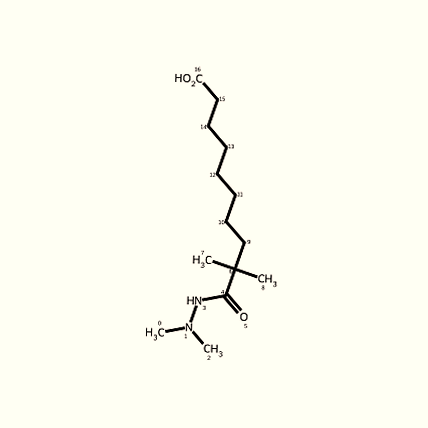 CN(C)NC(=O)C(C)(C)CCCCCCCC(=O)O